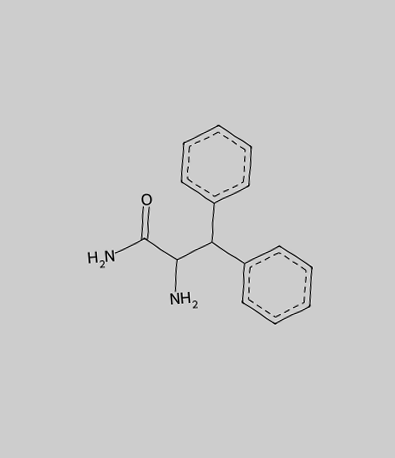 NC(=O)C(N)C(c1ccccc1)c1ccccc1